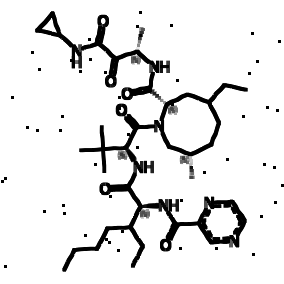 CCCCC(CC)[C@H](NC(=O)c1cnccn1)C(=O)N[C@H](C(=O)N1C[C@@H](C)CCC(CC)C[C@H]1C(=O)N[C@@H](C)C(=O)C(=O)NC1CC1)C(C)(C)C